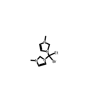 CCC(Br)(N1C=CN(C)C1)N1C=CN(C)C1